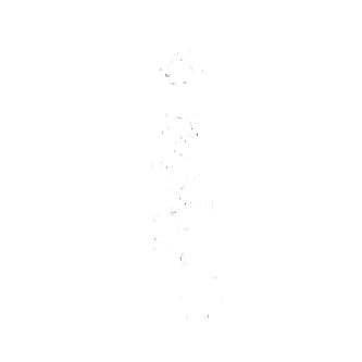 CN1C(=O)[C@@H](NC(=O)n2cc(Cc3cccc(F)n3)cn2)CCc2ccc(C#CC3CCOCC3)cc21